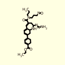 CCCN(CCCN=O)C(=O)C1=CC2=CC=C(C3=CC=C(C(=O)OCC)CC3)CC2NC(N=NN)C1